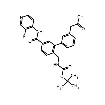 CC(C)(C)OC(=O)NCc1ccc(C(=O)Nc2ccncc2F)cc1-c1cccc(CC(=O)O)c1